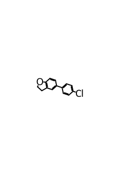 Clc1ccc(-c2ccc3c(c2)CCO3)cc1